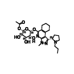 CCCN1CCC[C@H]1c1nn(C)c2nc(O[C@H]3O[C@@H](OC(C)=O)[C@@H](O)[C@@H](O)[C@H]3O)c3c(c12)CCCC3